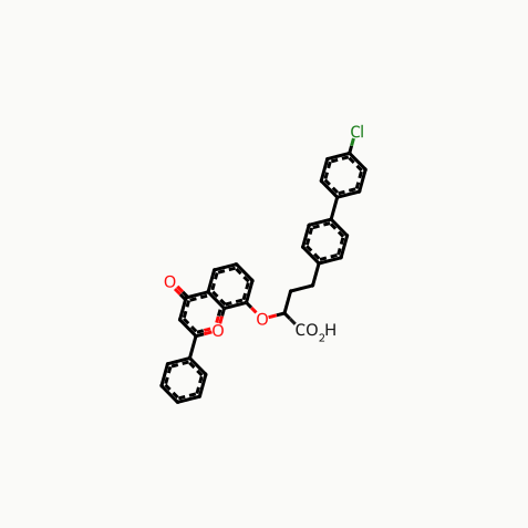 O=C(O)C(CCc1ccc(-c2ccc(Cl)cc2)cc1)Oc1cccc2c(=O)cc(-c3ccccc3)oc12